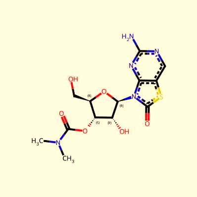 CN(C)C(=O)O[C@H]1[C@@H](O)[C@H](n2c(=O)sc3cnc(N)nc32)O[C@@H]1CO